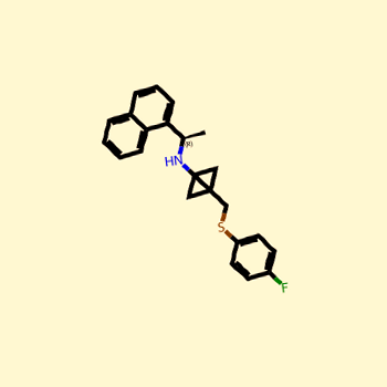 C[C@@H](NC12CC1(CSc1ccc(F)cc1)C2)c1cccc2ccccc12